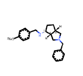 COc1ccc(CN[C@@H]2CC[C@@H]3CN(Cc4ccccc4)C[C@@H]32)cc1